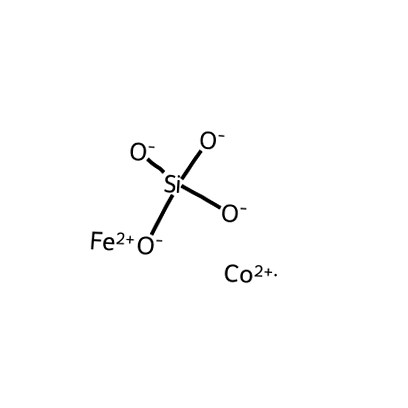 [Co+2].[Fe+2].[O-][Si]([O-])([O-])[O-]